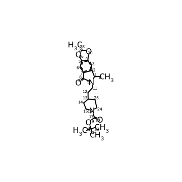 CC1c2cc3c(cc2C(=O)N1CCC1CCN(C(=O)OC(C)(C)C)CC1)O[C@H](C)O3